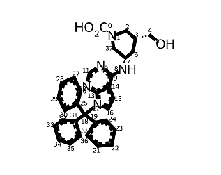 O=C(O)N1C[C@H](CO)C[C@H](Nc2ncnc3c2ccn3C(c2ccccc2)(c2ccccc2)c2ccccc2)C1